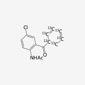 CC(=O)Nc1ccc(Cl)cc1C(=O)[13c]1[13cH][13cH][13cH][13cH][13cH]1